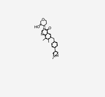 Cc1c(Cc2ccc(-c3cnn(C)c3)cc2)cc2c(=O)n([C@H]3CCOC[C@@H]3O)cnc2c1C